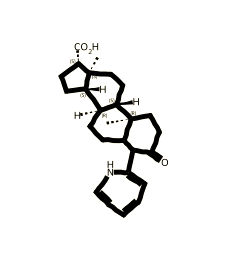 C[C@]12CC[C@H]3[C@@H](CCC4C(C5=CC=CC=CN5)C(=O)CC[C@@]43C)[C@@H]1CC[C@@H]2C(=O)O